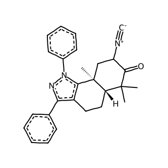 [C-]#[N+]C1C[C@]2(C)c3c(c(-c4ccccc4)nn3-c3ccccc3)CC[C@H]2C(C)(C)C1=O